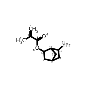 C=C(C)C(=O)OC1CC2CC(CCC)C1C2